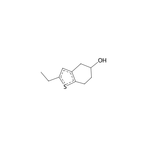 CCc1cc2c(s1)CCC(O)C2